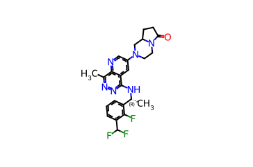 Cc1nnc(N[C@H](C)c2cccc(C(F)F)c2F)c2cc(N3CCN4C(=O)CCC4C3)cnc12